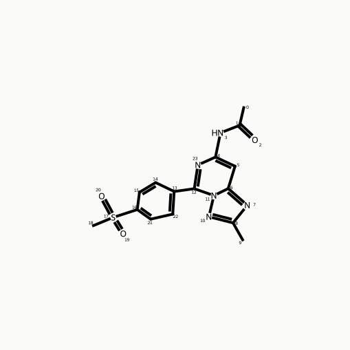 CC(=O)Nc1cc2nc(C)nn2c(-c2ccc(S(C)(=O)=O)cc2)n1